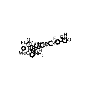 CCC1C(=O)N(C)c2cnc(C3C(OC)=CC=CC3(N)C(=O)NC3(CCO)CC4(CCN(CC5(F)CCN(c6ccc(C7CCC(=O)NC7=O)cc6F)CC5)CC4)C3)nc2N1C1CCCC1